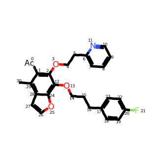 CC(=O)c1c(OCCc2ccccn2)c(OCCCc2ccc(F)cc2)c2occc2c1C